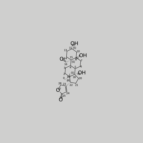 C[C@]12CCC3C(CC[C@]4(O)C[C@@H](O)CC[C@]34C=O)[C@@]1(O)CC[C@@H]2C1=CC(=O)OC1